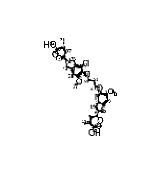 COc1cc2sc(C(=O)C[C@H](C)C(=O)O)cc2nc1OCCCOc1c(OC)cc2c(c1Cl)CN(C(=O)C[C@H](C)C(=O)O)C2